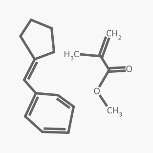 C(=C1CCCC1)c1ccccc1.C=C(C)C(=O)OC